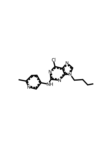 CCCCn1cnc2c(Cl)nc(Nc3ccc(C)nc3)nc21